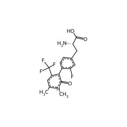 Cc1cc(C(F)(F)F)c(-c2ccc(C[C@H](N)C(=O)O)cc2F)c(=O)n1C